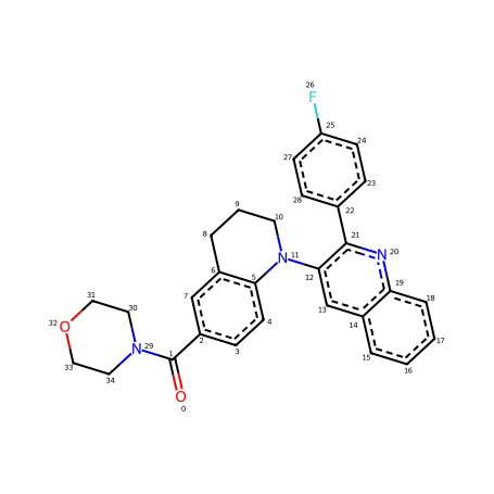 O=C(c1ccc2c(c1)CCCN2c1cc2ccccc2nc1-c1ccc(F)cc1)N1CCOCC1